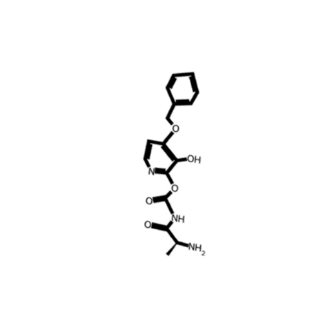 C[C@H](N)C(=O)NC(=O)Oc1nccc(OCc2ccccc2)c1O